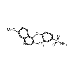 COc1ccc2c(Oc3ccc(S(N)(=O)=O)cc3)c(C(F)(F)F)cnc2c1